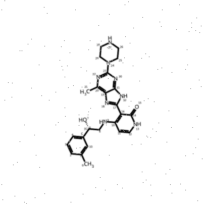 Cc1cccc([C@H](O)CNc2cc[nH]c(=O)c2-c2nc3c(C)nc(N4CCNCC4)nc3[nH]2)c1